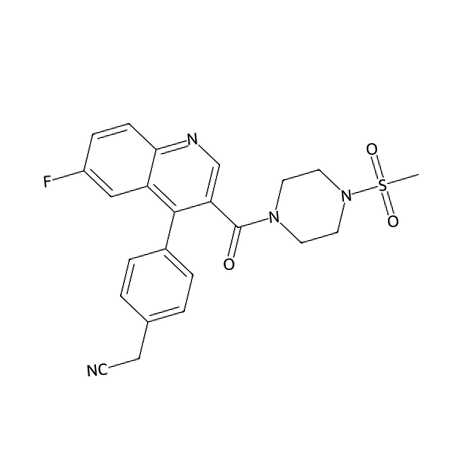 CS(=O)(=O)N1CCN(C(=O)c2cnc3ccc(F)cc3c2-c2ccc(CC#N)cc2)CC1